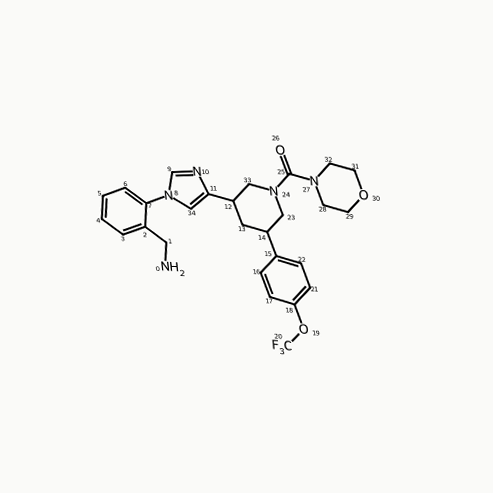 NCc1ccccc1-n1cnc(C2CC(c3ccc(OC(F)(F)F)cc3)CN(C(=O)N3CCOCC3)C2)c1